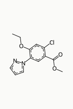 CCOc1cc(Cl)c(C(=O)OC)cc1-n1cccn1